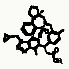 Cc1ccc([C@H](CC(=O)O)c2ccc3c(nnn3CC3CC3)c2C)cc1CN1C[C@]2(C)CCCN2c2ncccc2S1(=O)=O